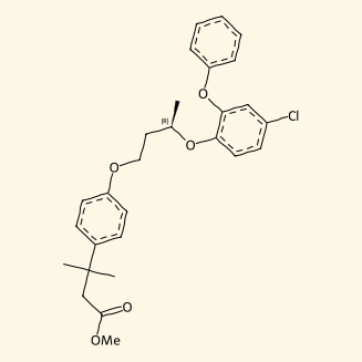 COC(=O)CC(C)(C)c1ccc(OCC[C@@H](C)Oc2ccc(Cl)cc2Oc2ccccc2)cc1